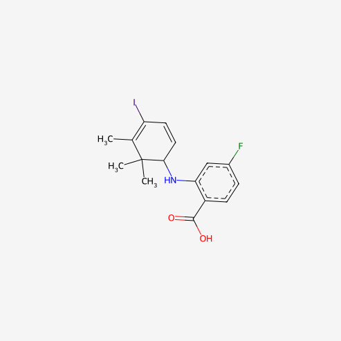 CC1=C(I)C=CC(Nc2cc(F)ccc2C(=O)O)C1(C)C